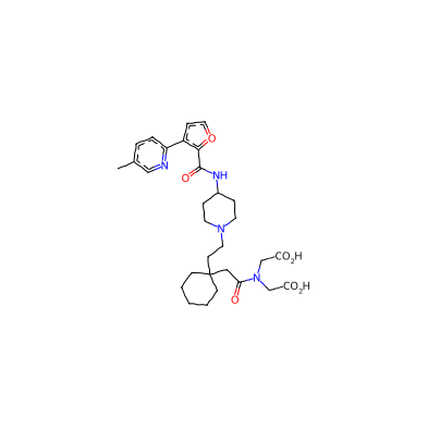 Cc1ccc(-c2ccoc2C(=O)NC2CCN(CCC3(CC(=O)N(CC(=O)O)CC(=O)O)CCCCC3)CC2)nc1